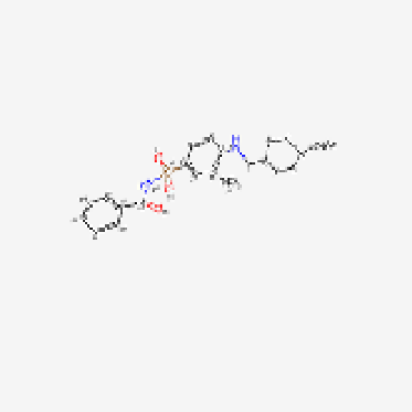 COC1CCC(CNc2ccc(S(=O)(=O)NC(=O)c3ccccc3)cc2[N+](=O)[O-])CC1